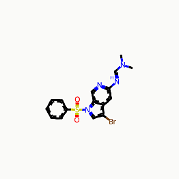 CN(C)/C=N/c1cc2c(Br)cn(S(=O)(=O)c3ccccc3)c2cn1